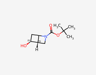 CC(C)(C)OC(=O)N1C[C@H]2C1C[C@@H]2O